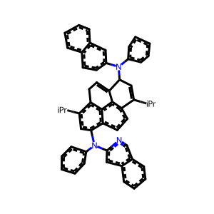 CC(C)C1=CC(N(c2ccccc2)c2ccc3ccccc3c2)C2=CCc3c(C(C)C)cc(N(c4ccccc4)c4cc5ccccc5cn4)c4ccc1c2c34